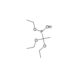 CCOP(O)C(C)(OCC)OCC